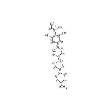 CC1CCC(C2CCC(C3CCC(c4cc(F)c(/C(F)=C/C(F)(F)F)c(F)c4)OC3)CC2)CC1